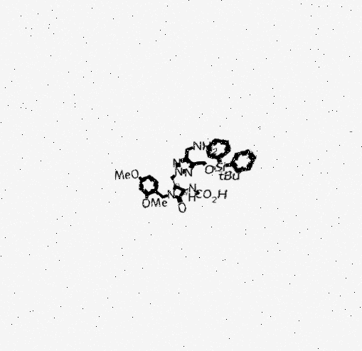 COc1ccc(CN2C(=O)[C@@H](NC(=O)O)[C@@H]2Cn2nc(CN)c(CO[Si](c3ccccc3)(c3ccccc3)C(C)(C)C)n2)c(OC)c1